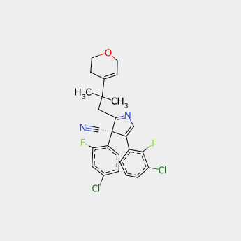 CC(C)(CC1=NC=C(c2cccc(Cl)c2F)[C@@]1(C#N)c1ccc(Cl)cc1F)C1=CCOCC1